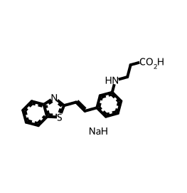 O=C(O)CCNc1cccc(/C=C/c2nc3ccccc3s2)c1.[NaH]